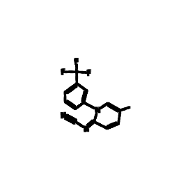 Cc1ccc(=NC#N)n(-c2cccc(C(F)(F)F)c2)c1